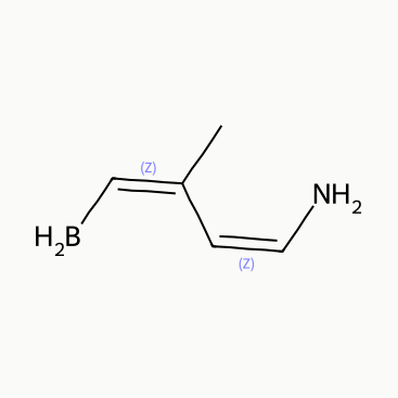 B/C=C(C)\C=C/N